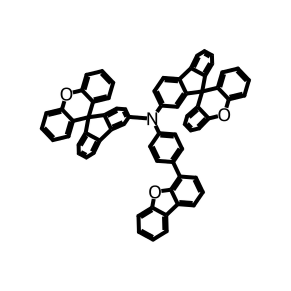 c1ccc2c(c1)Oc1ccccc1C21c2ccccc2-c2cc(N(c3ccc(-c4cccc5c4oc4ccccc45)cc3)c3ccc4c(c3)C3(c5ccccc5Oc5ccccc53)c3ccccc3-4)ccc21